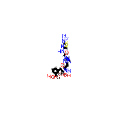 Nc1nc(NC(=O)Cn2nnc(CC(=O)N[C@H]3Cc4cccc(C(=O)O)c4OB3O)n2)cs1